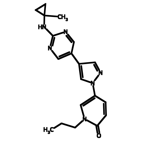 CCCn1cc(-n2cc(-c3cnc(NC4(C)CC4)nc3)cn2)ccc1=O